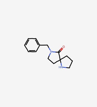 O=C1N(Cc2ccccc2)CCC12CCCN2